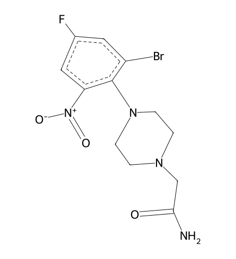 NC(=O)CN1CCN(c2c(Br)cc(F)cc2[N+](=O)[O-])CC1